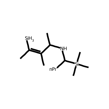 CCCC(NC(C)C(C)=C(C)[SiH3])[Si](C)(C)C